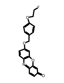 O=c1ccc2nc3ccc(OCc4ccc(OCCF)cc4)cc3oc-2c1